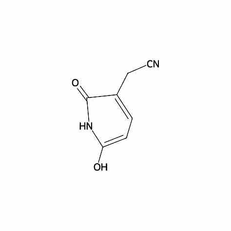 N#CCc1ccc(O)[nH]c1=O